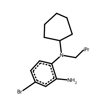 CC(C)CN(c1ccc(Br)cc1N)C1CCCCC1